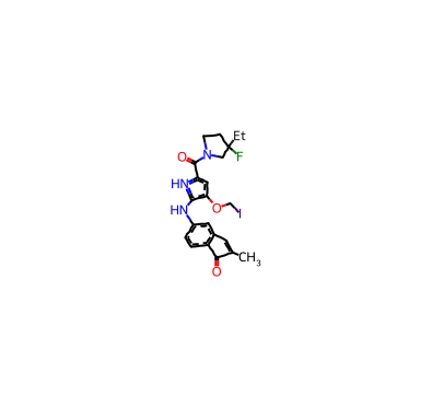 CCC1(F)CCN(C(=O)c2cc(OCI)c(Nc3ccc4c(c3)C=C(C)C4=O)[nH]2)C1